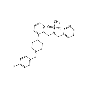 CS(=O)(=O)N(Cc1cccnc1)Cc1ccccc1C1CCN(Cc2ccc(F)cc2)CC1